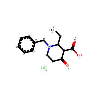 CCC1C(C(=O)O)C(=O)CCN1Cc1ccccc1.Cl